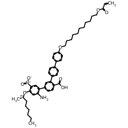 C=CC(=O)OCCCCCCCCCCCOc1ccc(-c2ccc(-c3cc(-c4cc([N+](=O)[O-])c(O[C@H](C)CCCCCC)cc4N)ccc3C(=O)O)cc2)cc1